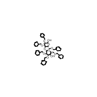 O[C@@H]1[C@H](OCc2ccccc2)[C@@H](OCc2ccccc2)[C@H](O[C@H]2[C@H](OCc3ccccc3)[C@@H](OCc3ccccc3)[C@@H](O)O[C@@H]2COCc2ccccc2)O[C@@H]1COCc1ccccc1